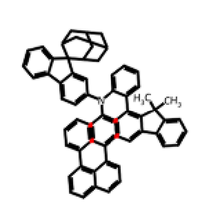 CC1(C)c2ccccc2-c2cccc(-c3ccccc3N(c3ccc(-c4cccc5cccc(-c6ccccc6)c45)cc3)c3ccc4c(c3)C3(c5ccccc5-4)C4CC5CC(C4)CC3C5)c21